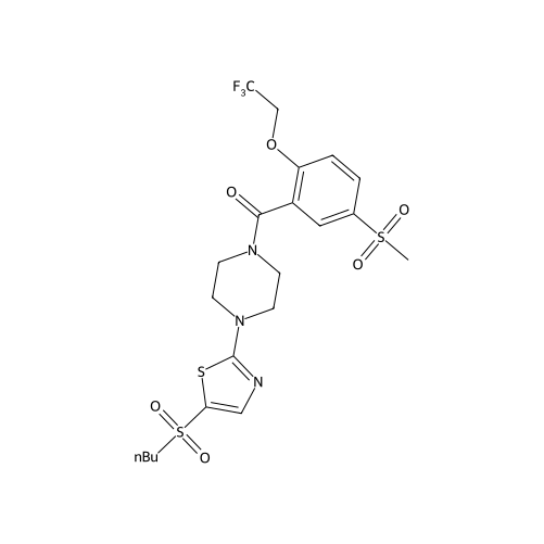 CCCCS(=O)(=O)c1cnc(N2CCN(C(=O)c3cc(S(C)(=O)=O)ccc3OCC(F)(F)F)CC2)s1